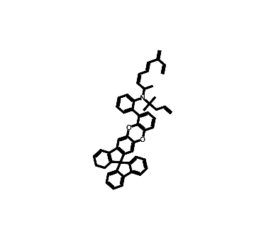 C=CCC(C)(C)N(c1ccccc1-c1cccc2c1Oc1cc3c(cc1O2)C1(C2=C3C=CCC2)c2ccccc2-c2ccccc21)C(C)/C=C\C=C\C(=C)C=C